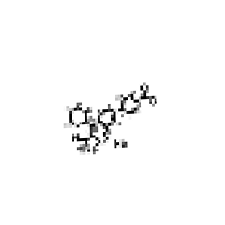 O=C([O-])c1ccc(-c2ccc(C(C3CCCCC3)C3CCNC3=O)c(Cl)c2)cc1.[Na+]